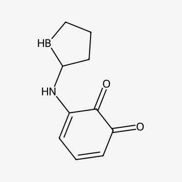 O=C1C=CC=C(NC2BCCC2)C1=O